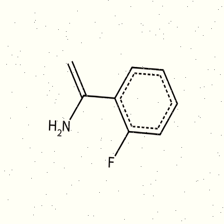 C=C(N)c1ccccc1F